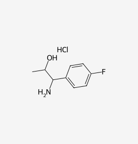 CC(O)C(N)c1ccc(F)cc1.Cl